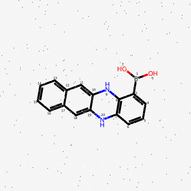 OB(O)c1cccc2c1Nc1cc3ccccc3cc1N2